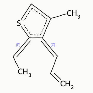 C=C/C=c1/c(C)cs/c1=C/C